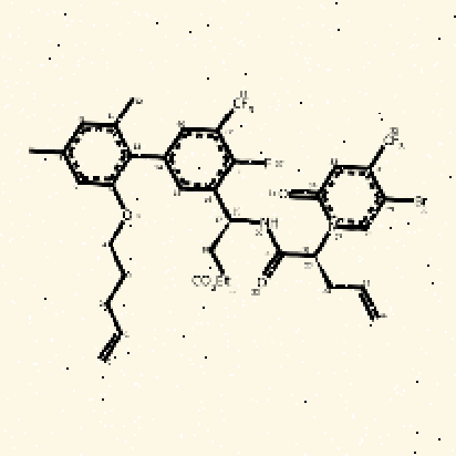 C=CCCCOc1cc(C)cc(C)c1-c1cc([C@H](CC(=O)OCC)NC(=O)[C@H](CC=C)n2cc(Br)c(C(F)(F)F)cc2=O)c(F)c(C(F)(F)F)c1